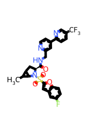 CC1C2C[C@@H](C(=O)NCc3cc(-c4ccc(C(F)(F)F)cn4)ccn3)N(S(=O)(=O)c3cc4cc(F)ccc4o3)C12